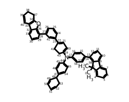 CC1(C)c2ccccc2-c2cccc(-c3ccc(N(C4=CC=C(c5cccc(-c6cccc7c8c(oc67)CCC=C8)c5)CC4)c4ccc(C5C=CC=CC5)cc4)cc3)c21